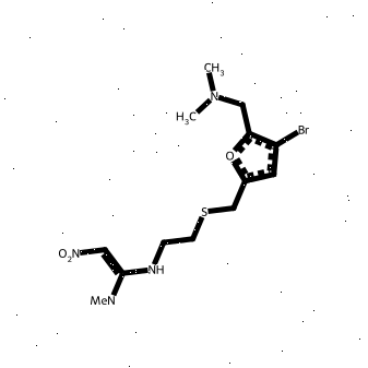 CNC(=C[N+](=O)[O-])NCCSCc1cc(Br)c(CN(C)C)o1